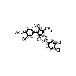 CC(=O)Oc1ccc(-c2c([N+](=O)[O-])c(C(F)(F)F)n(COc3ccc(Cl)c(Cl)c3)c2C(F)(F)F)cc1Br